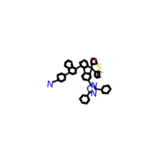 N#Cc1ccc(-c2ccc(-c3cccc4c3-c3ccc(-c5cc(-c6ccccc6)nc(-c6ccccc6)n5)cc3C43c4ccccc4Sc4ccccc43)c3ccccc23)cc1